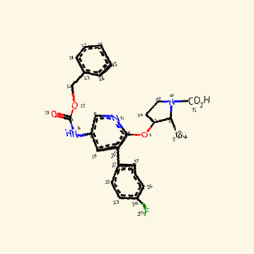 CC(C)(C)C1C(Oc2ncc(NC(=O)OCc3ccccc3)cc2-c2ccc(F)cc2)CCN1C(=O)O